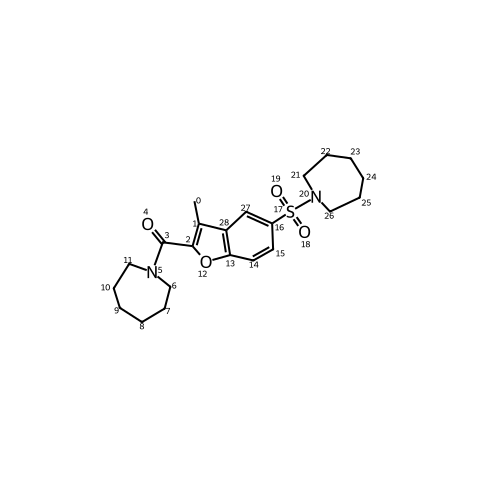 Cc1c(C(=O)N2CCCCCC2)oc2ccc(S(=O)(=O)N3CCCCCC3)cc12